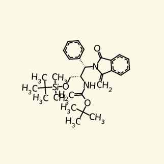 C=C(N[C@H](CO[Si](C)(C)C(C)(C)C)[C@H](c1ccccc1)N1C(=C)c2ccccc2C1=O)OC(C)(C)C